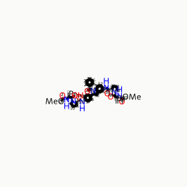 COC(=O)N[C@@H](C(C)C)C(O)N1CCC[C@H]1C(=O)Nc1ccc2c(c1)O[C@H](c1ccccc1)n1c-2cc2cc(NC(=O)[C@@H]3CCCN3C(=O)[C@@H](NC(=O)OC)C(C)C)ccc21